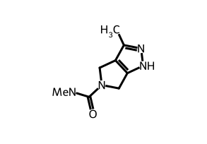 CNC(=O)N1Cc2[nH]nc(C)c2C1